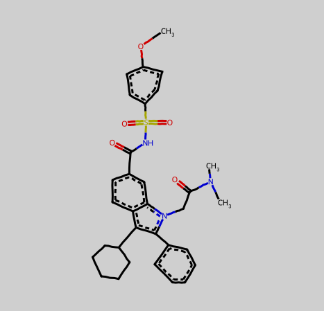 COc1ccc(S(=O)(=O)NC(=O)c2ccc3c(C4CCCCC4)c(-c4ccccc4)n(CC(=O)N(C)C)c3c2)cc1